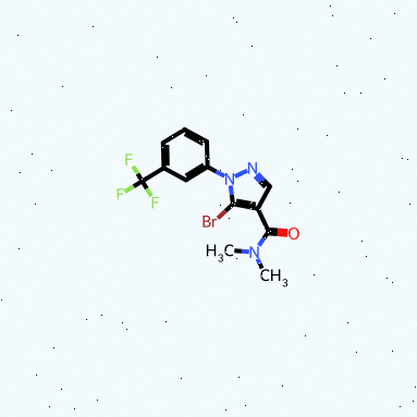 CN(C)C(=O)c1cnn(-c2cccc(C(F)(F)F)c2)c1Br